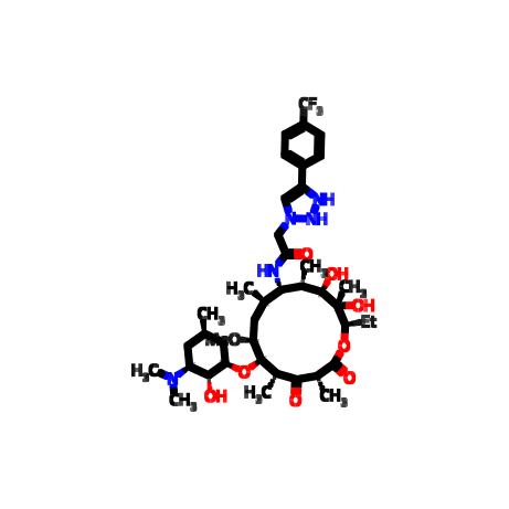 CC[C@H]1OC(=O)[C@H](C)C(=O)[C@H](C)[C@@H](O[C@@H]2C[C@H](C)C[C@H](N(C)C)[C@H]2O)[C@@H](OC)C[C@@H](C)[C@H](NC(=O)CN2C=C(c3ccc(C(F)(F)F)cc3)NN2)[C@H](C)[C@@H](O)[C@]1(C)O